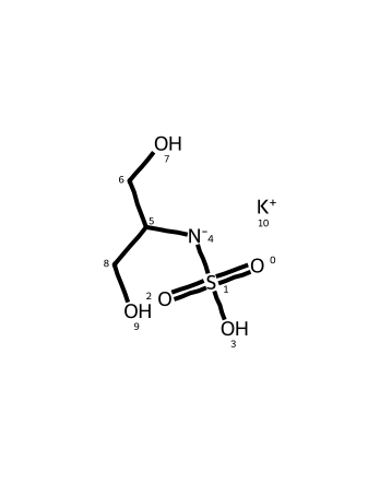 O=S(=O)(O)[N-]C(CO)CO.[K+]